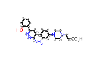 Nc1nnc(-c2ccccc2O)cc1-c1ccc(N2CCN(/C=C/C(=O)O)CC2)cc1